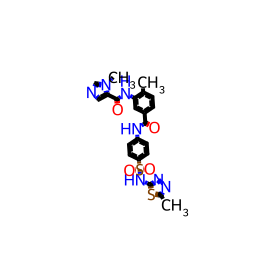 Cc1nnc(NS(=O)(=O)c2ccc(NC(=O)c3ccc(C)c(NC(=O)c4cncn4C)c3)cc2)s1